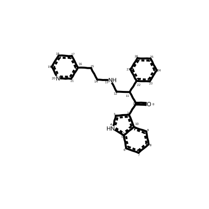 O=C(c1c[nH]c2ccccc12)C(CNCCc1cccnc1)c1ccccc1